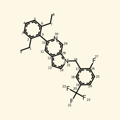 CCc1cccc(CC)c1-c1cc2ccn(Cc3cc(C(F)(F)F)ccc3F)c2cn1